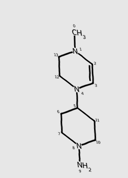 CN1C=CN(C2CCN(N)CC2)CC1